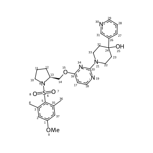 COc1cc(C)c(S(=O)(=O)N2CCC[C@H]2COc2ccnc(N3CCC(O)(c4cccnc4)CC3)n2)c(C)c1